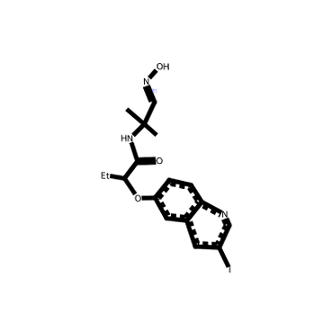 CCC(Oc1ccc2ncc(I)cc2c1)C(=O)NC(C)(C)/C=N/O